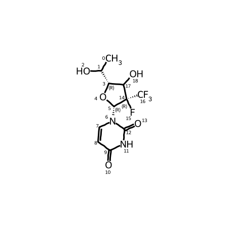 CC(O)[C@H]1O[C@@H](n2ccc(=O)[nH]c2=O)[C@@](F)(C(F)(F)F)C1O